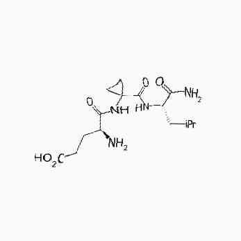 CC(C)C[C@H](NC(=O)C1(NC(=O)[C@@H](N)CCC(=O)O)CC1)C(N)=O